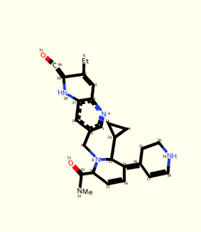 CCC1=Cc2ncc(CN3C(C(=O)NC)C=CC(=C4C=CNCC4)C3C3CC3)cc2NC1=C=O